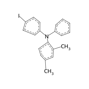 Cc1ccc(N(c2ccccc2)c2ccc(I)cc2)c(C)c1